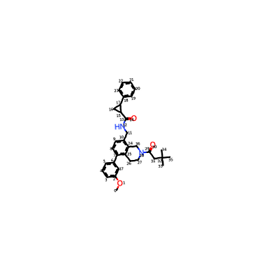 COc1cccc(-c2ccc(CNC(=O)C3CC3c3ccccc3)c3c2CCN(C(=O)CC(C)(C)C)C3)c1